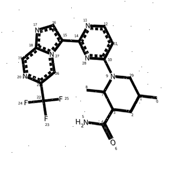 CC1CC(C(N)=O)C(C)N(c2ccnc(-c3cnc4cnc(C(F)(F)F)cn34)n2)C1